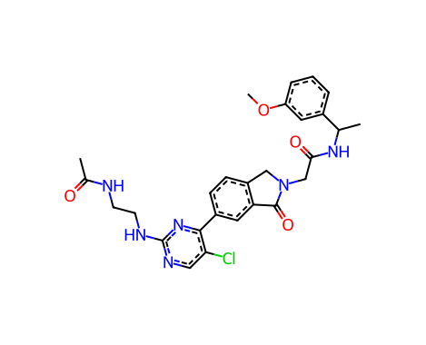 COc1cccc(C(C)NC(=O)CN2Cc3ccc(-c4nc(NCCNC(C)=O)ncc4Cl)cc3C2=O)c1